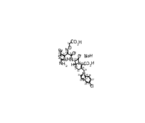 Nc1nc(/C(=N/OCC(=O)O)C(=O)N[C@@H]2C(=O)N3C(C(=O)O)=C(Cn4cc[n+]5cc(Cl)ccc45)CS[C@H]23)c(Br)s1.[NaH]